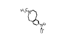 CN1CCCc2cc([N+](=O)[O-])ccc2CC1